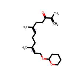 C=C(C)C(=O)CC/C(C)=C/CC/C(C)=C\COC1CCCCO1